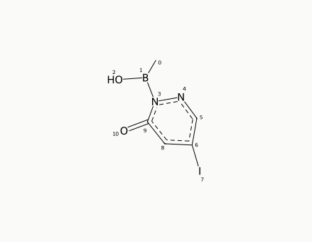 CB(O)n1ncc(I)cc1=O